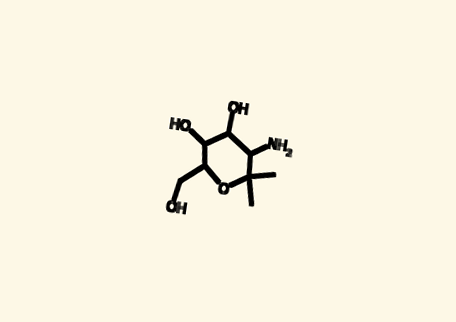 CC1(C)OC(CO)C(O)C(O)C1N